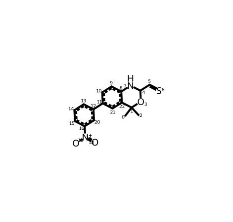 CC1(C)OC(C=S)Nc2ccc(-c3cccc([N+](=O)[O-])c3)cc21